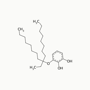 CCCCCCCCC(CC)(CCCCCCCC)Oc1cccc(O)c1O